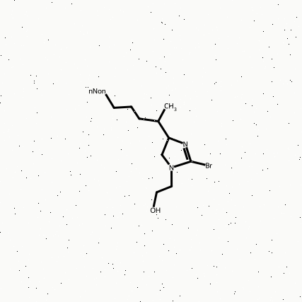 CCCCCCCCCCCCC(C)C1CN(CCO)C(Br)=N1